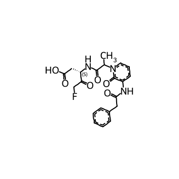 CC(C(=O)N[C@@H](CC(=O)O)C(=O)CF)n1cccc(NC(=O)Cc2ccccc2)c1=O